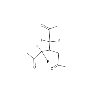 CC(=O)CC(C(F)(F)C(C)=O)C(F)(F)C(C)=O